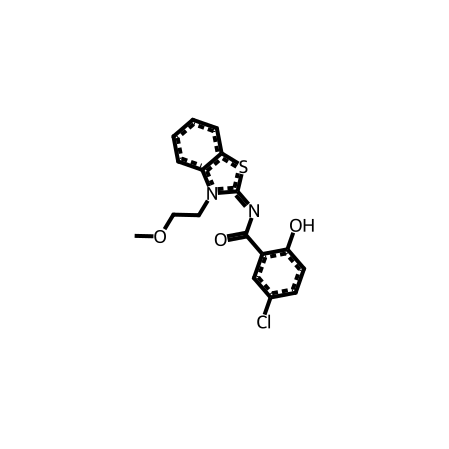 COCCn1c(=NC(=O)c2cc(Cl)ccc2O)sc2ccccc21